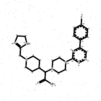 NC(=O)C(C1CCN(CC2=NCCN2)CC1)N1CCN(c2nncc(-c3ccc(F)cc3)n2)CC1